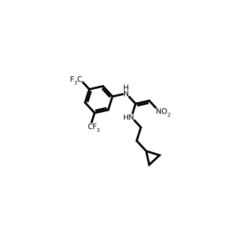 O=[N+]([O-])/C=C(\NCCC1CC1)Nc1cc(C(F)(F)F)cc(C(F)(F)F)c1